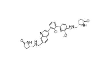 COc1nc(-c2cccc(-c3cnc4cc(CNC[C@@H]5CCC(=O)N5)ccc4c3)c2Cl)ccc1CNC[C@@H]1CCC(=O)N1